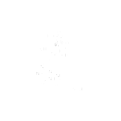 O=C(CCCSS)Nc1nc2c(ncn2[C@H]2CC(O)[C@@H](COP(=O)(O)OP(=O)(O)OP(=O)(O)O)O2)c(=O)[nH]1